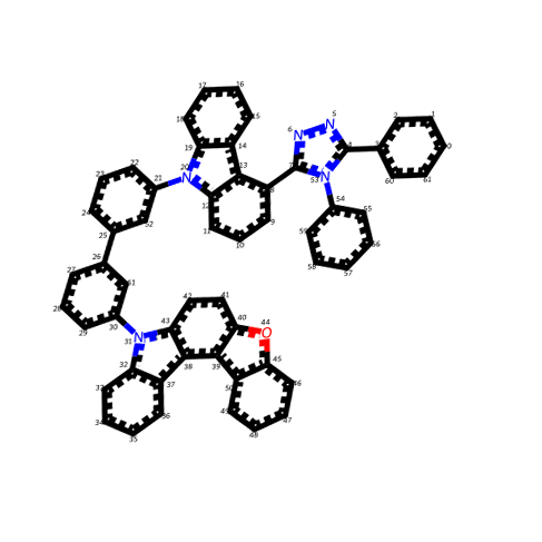 c1ccc(-c2nnc(-c3cccc4c3c3ccccc3n4-c3cccc(-c4cccc(-n5c6ccccc6c6c7c(ccc65)oc5ccccc57)c4)c3)n2-c2ccccc2)cc1